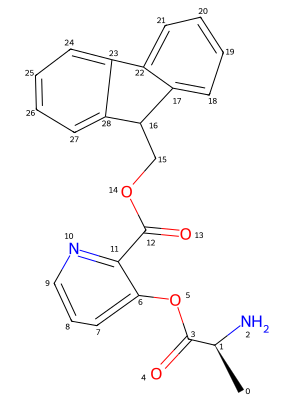 C[C@H](N)C(=O)Oc1cccnc1C(=O)OCC1c2ccccc2-c2ccccc21